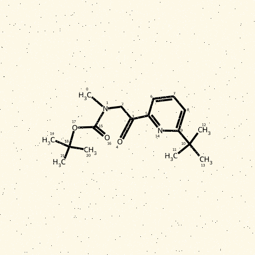 CN(CC(=O)c1cccc(C(C)(C)C)n1)C(=O)OC(C)(C)C